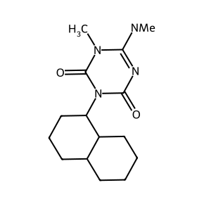 CNc1nc(=O)n(C2CCCC3CCCCC32)c(=O)n1C